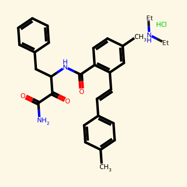 CCNCC.Cc1ccc(C=Cc2cc(C)ccc2C(=O)NC(Cc2ccccc2)C(=O)C(N)=O)cc1.Cl